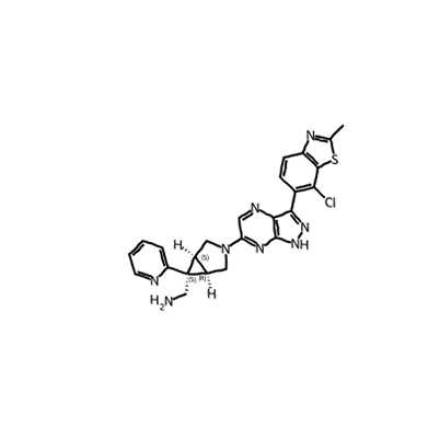 Cc1nc2ccc(-c3n[nH]c4nc(N5C[C@@H]6[C@H](C5)[C@]6(CN)c5ccccn5)cnc34)c(Cl)c2s1